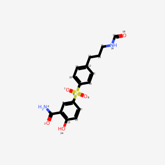 NC(=O)c1cc(S(=O)(=O)c2ccc(CCCNC=O)cc2)ccc1O